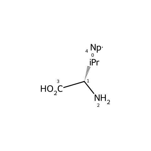 CC(C)[C@H](N)C(=O)O.[Np]